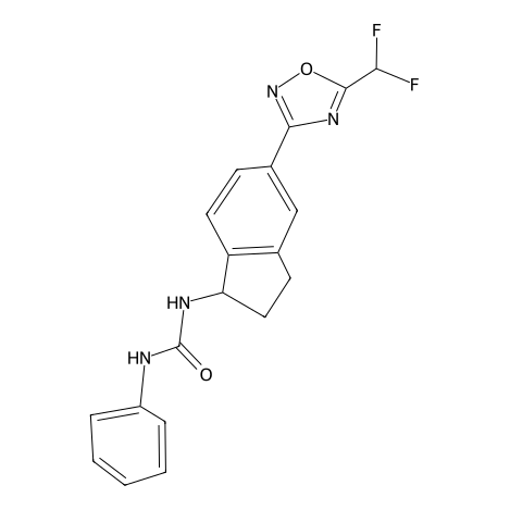 O=C(Nc1ccccc1)NC1CCc2cc(-c3noc(C(F)F)n3)ccc21